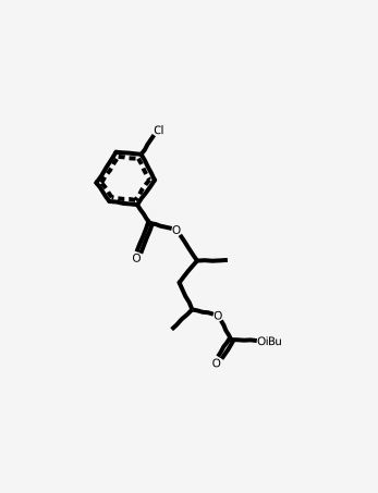 CC(C)COC(=O)OC(C)CC(C)OC(=O)c1cccc(Cl)c1